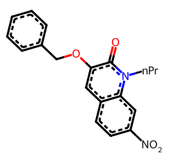 [CH2]CCn1c(=O)c(OCc2ccccc2)cc2ccc([N+](=O)[O-])cc21